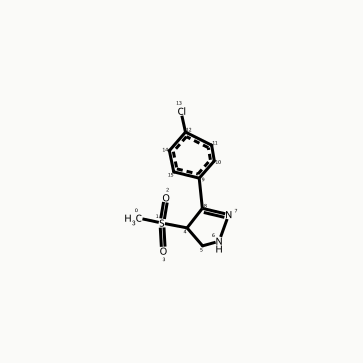 CS(=O)(=O)C1CNN=C1c1ccc(Cl)cc1